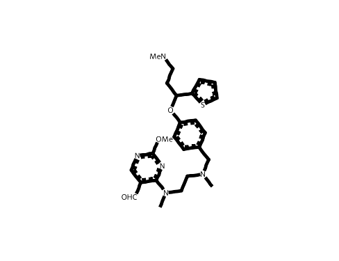 CNCCC(Oc1ccc(CN(C)CCN(C)c2nc(OC)ncc2C=O)cc1)c1cccs1